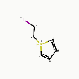 ICC[SH]1C=CC=C1